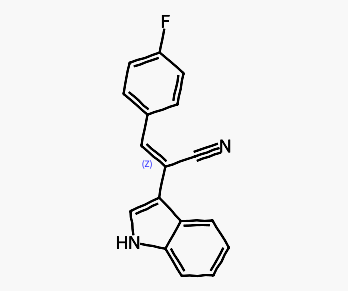 N#C/C(=C\c1ccc(F)cc1)c1c[nH]c2ccccc12